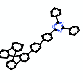 c1ccc(-c2nc(-c3ccccc3)nc(-c3ccc(-c4ccc(-c5ccc6c(c5)C5(c7ccccc7-c7ccccc75)c5ccccc5-6)cc4)cc3)n2)cc1